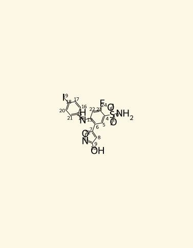 NS(=O)(=O)c1cc(-c2cc(O)no2)c(Nc2ccc(I)cc2)cc1F